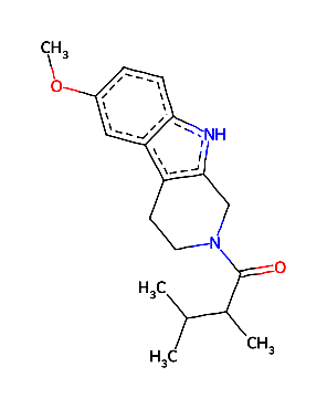 COc1ccc2[nH]c3c(c2c1)CCN(C(=O)C(C)C(C)C)C3